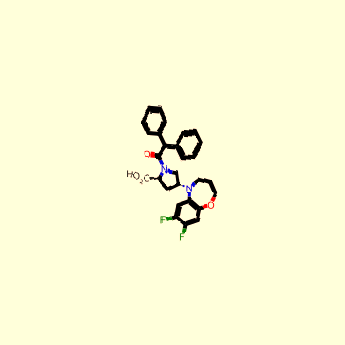 O=C(O)[C@@H]1C[C@@H](N2CCCOc3cc(F)c(F)cc32)CN1C(=O)C(c1ccccc1)c1ccccc1